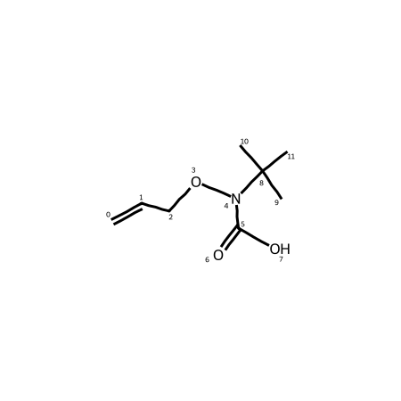 C=CCON(C(=O)O)C(C)(C)C